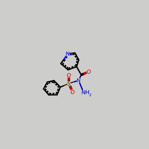 NN(C(=O)c1ccncc1)S(=O)(=O)c1ccccc1